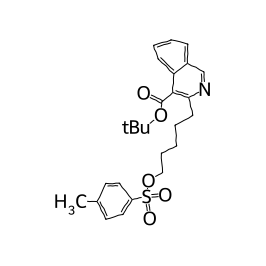 Cc1ccc(S(=O)(=O)OCCCCCc2ncc3ccccc3c2C(=O)OC(C)(C)C)cc1